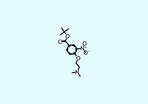 CN(C)CCOc1ccc(C(=O)OC(C)(C)C)cc1[N+](=O)[O-]